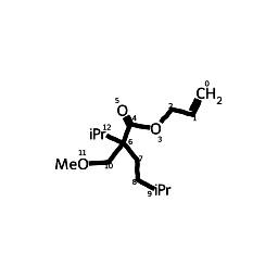 C=CCOC(=O)C(CCC(C)C)(COC)C(C)C